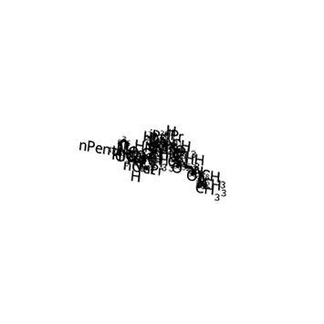 CCCCCCCC[C@@H](NC(=O)[C@H]1CCCN1C(=O)CCCCC)C(=O)N[C@H](CC(C)C)C(=O)NC(C)(C)C(=O)N[C@H](CC(C)C)C(=O)N[C@H](CC(C)C)C(=O)NC(C)(C)C(=O)NC(C)(C)C(=O)NCCC(=O)N[C@@H](C)CN(C)C